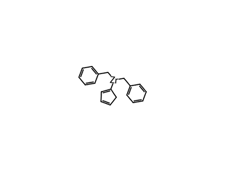 C1=CC[C]([Zr]([CH2]c2ccccc2)[CH2]c2ccccc2)=C1